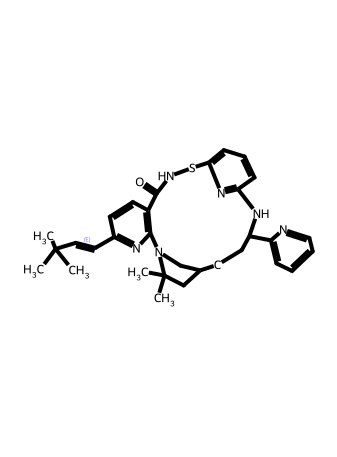 CC(C)(C)/C=C/c1ccc2c(n1)N1CC(CCC(c3ccccn3)Nc3cccc(n3)SNC2=O)CC1(C)C